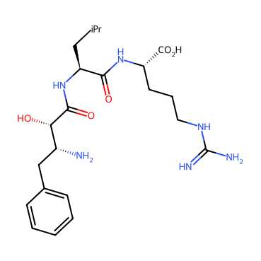 CC(C)C[C@H](NC(=O)[C@@H](O)[C@H](N)Cc1ccccc1)C(=O)N[C@@H](CCCNC(=N)N)C(=O)O